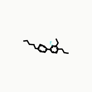 CCCCCc1ccc(-c2ccc(CCC)c(CC)c2F)cc1